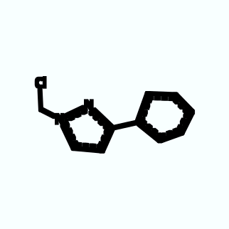 ClCn1ccc(-c2ccccc2)n1